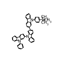 C[Si](C)(C)c1ccc(-n2c3ccccc3c3ccc(-c4ccc5c6ccccc6n(-c6ccc7c8ccccc8n(-c8ccccc8)c7c6)c5c4)cc32)cc1